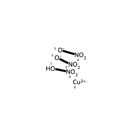 O=[N+]([O-])O.O=[N+]([O-])[O-].O=[N+]([O-])[O-].[Cu+2]